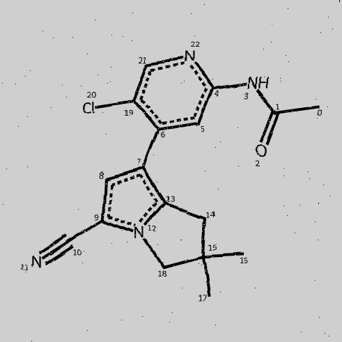 CC(=O)Nc1cc(-c2cc(C#N)n3c2CC(C)(C)C3)c(Cl)cn1